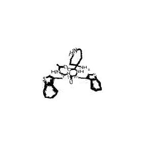 CC(=O)N[C@@H](Cc1csc2ccccc12)NC(=O)[C@@H](Cc1csc2ccccc12)NC(=O)C1(N)CCNCC1